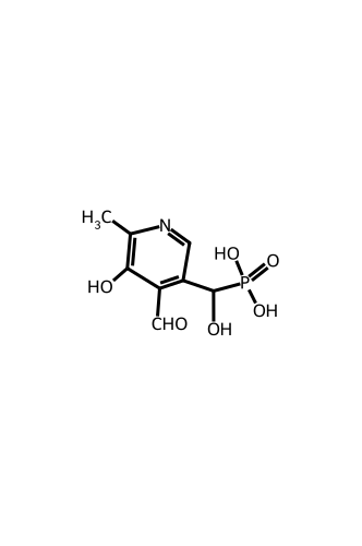 Cc1ncc(C(O)P(=O)(O)O)c(C=O)c1O